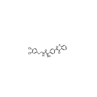 O=C(Nc1ccc(N(S)C(=O)NCCc2ccc(Cl)c(Cl)c2)cc1)c1ccccc1F